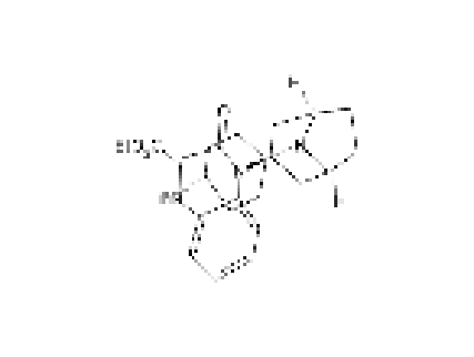 CCOC(=O)c1nc2ccccc2n([C@H]2C[C@H]3CC[C@@H](C2)N3[C@H]2CC[C@@H](C(C)C)CC2)c1=O